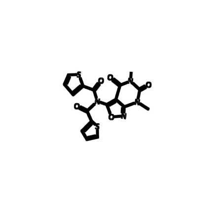 Cn1c(=O)c2c(N(C(=O)c3cccs3)C(=O)c3cccs3)onc2n(C)c1=O